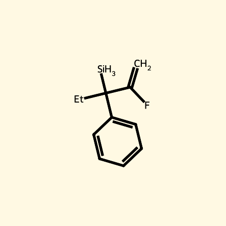 C=C(F)C([SiH3])(CC)c1ccccc1